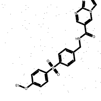 CCOc1ccc(S(=O)(=O)c2ccc(CNC(=O)c3cnc4nccn4c3)cc2)cc1